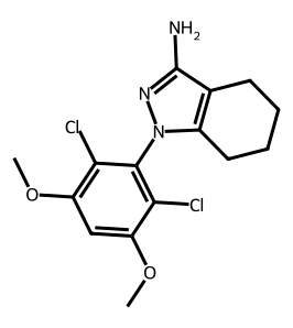 COc1cc(OC)c(Cl)c(-n2nc(N)c3c2CCCC3)c1Cl